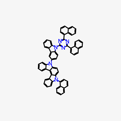 c1ccc2c(-c3nc(-c4cccc5ccccc45)nc(-n4c5ccccc5c5cc(-n6c7ccccc7c7c8c9ccccc9n(-c9cccc%10ccccc9%10)c8ccc76)ccc54)n3)cccc2c1